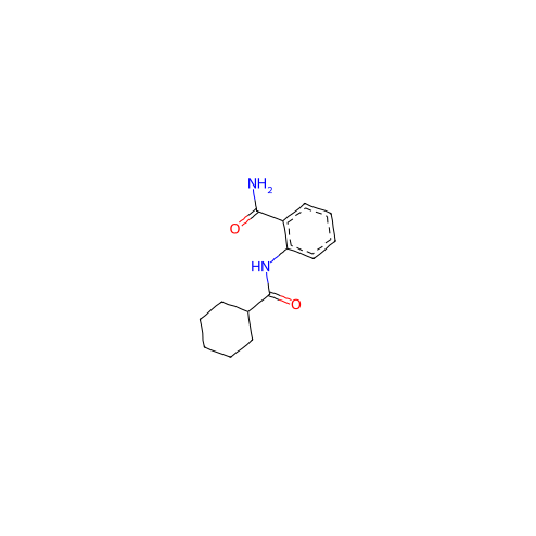 NC(=O)c1ccccc1NC(=O)C1CCCCC1